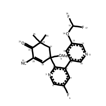 COC1(c2ncc(F)cc2-c2cncc(OC(F)F)c2)C=C(C#N)C(=O)C(C)(C)C1